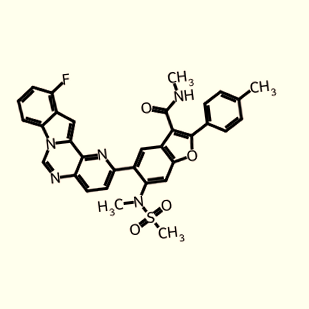 CNC(=O)c1c(-c2ccc(C)cc2)oc2cc(N(C)S(C)(=O)=O)c(-c3ccc4ncn5c6cccc(F)c6cc5c4n3)cc12